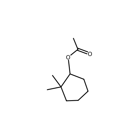 CC(=O)OC1CCCCC1(C)C